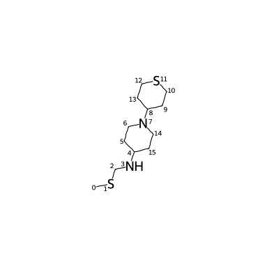 CSCNC1CCN(C2CCSCC2)CC1